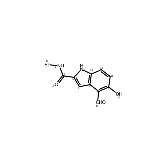 CCNC(=O)c1cc2c(C=O)c(O)ccc2[nH]1